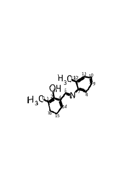 CC1=C(O)C(/C=N/c2ccccc2C)=CCC1